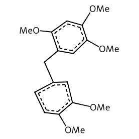 COc1cc(OC)c(OC)cc1Cc1ccc(OC)c(OC)c1